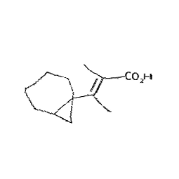 CC(C(=O)O)=C(C)C12CCCCC1C2